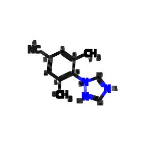 Cc1cc(C#N)cc(C)c1-n1cncn1